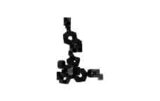 Cc1ccc(C2CC=NN2C(=O)[C@H]2CC3(Cn4ncc5cc(C#N)ccc54)CC2C3)nc1